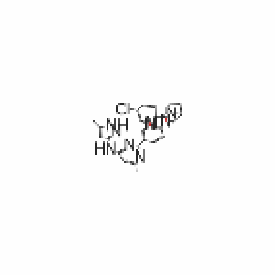 Cc1cc(Nc2cc(C)[nH]n2)nc(-c2ccc(N3CC4CC(C3)N4Cc3ccc(Cl)cn3)nc2)n1